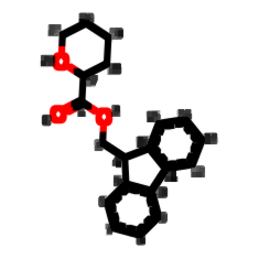 O=C(OCC1c2ccccc2-c2ccccc21)C1CCCCO1